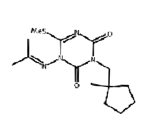 CSc1nc(=O)n(CC2(C)CCCC2)c(=O)n1N=C(C)C